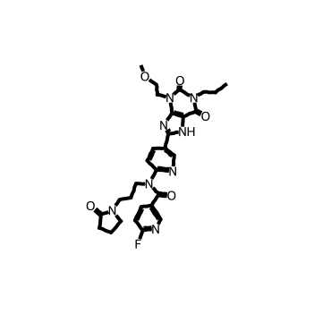 CCCn1c(=O)c2[nH]c(-c3ccc(N(CCCN4CCCC4=O)C(=O)c4ccc(F)nc4)nc3)nc2n(CCOC)c1=O